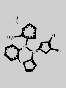 CCC1=C(CC)C[C]([Zr+2]([C]2=CC=CC2)[SiH](c2ccccc2C)c2ccccc2C)=C1.[Cl-].[Cl-]